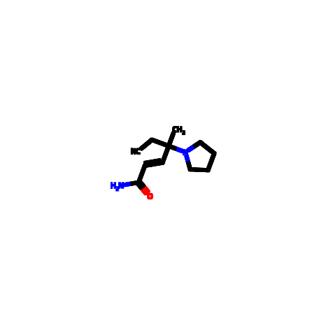 CC(C=CC(N)=O)(CC#N)N1CCCC1